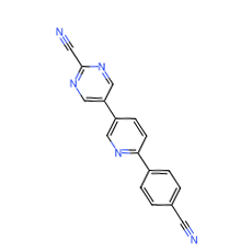 N#Cc1ccc(-c2ccc(-c3cnc(C#N)nc3)cn2)cc1